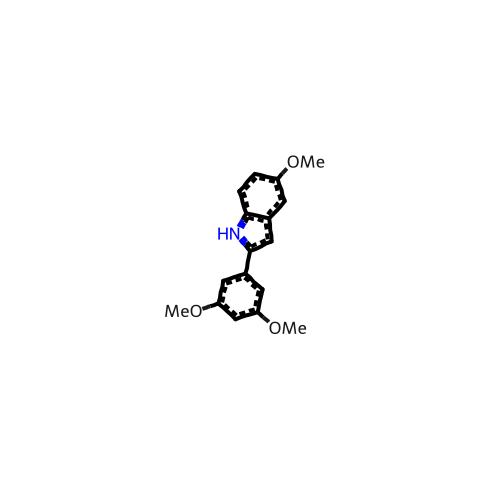 COc1cc(OC)cc(-c2cc3cc(OC)ccc3[nH]2)c1